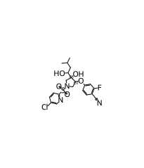 CC(C)CC(O)[C@]1(O)CN(S(=O)(=O)c2ccc(Cl)cn2)C[C@@H]1Oc1ccc(C#N)c(F)c1